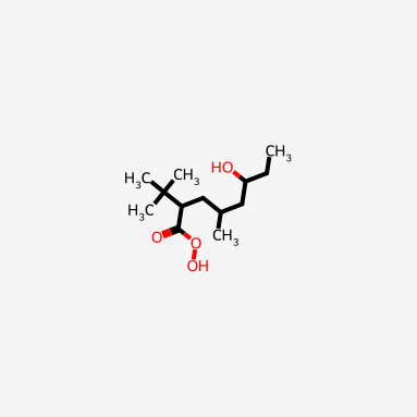 CCC(O)CC(C)CC(C(=O)OO)C(C)(C)C